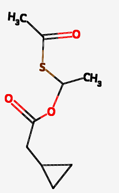 CC(=O)SC(C)OC(=O)CC1CC1